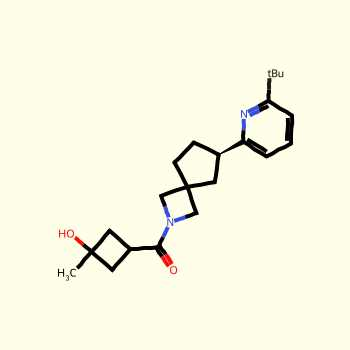 CC1(O)CC(C(=O)N2CC3(CC[C@@H](c4cccc(C(C)(C)C)n4)C3)C2)C1